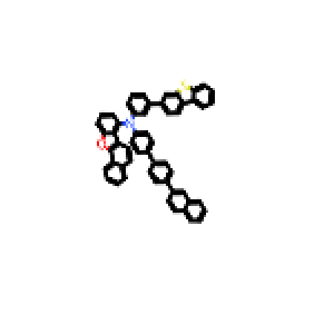 c1cc(-c2ccc3c(c2)sc2ccccc23)cc(N(c2ccc(-c3ccc(-c4ccc5ccccc5c4)cc3)cc2)c2cccc3oc4c5ccccc5ccc4c23)c1